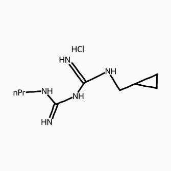 CCCNC(=N)NC(=N)NCC1CC1.Cl